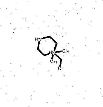 [O]C[SH]1(O)(O)CCNCC1